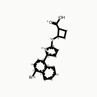 O=C(O)C1CCC1Sc1ccc(-c2ccc(Br)c3ccccc23)s1